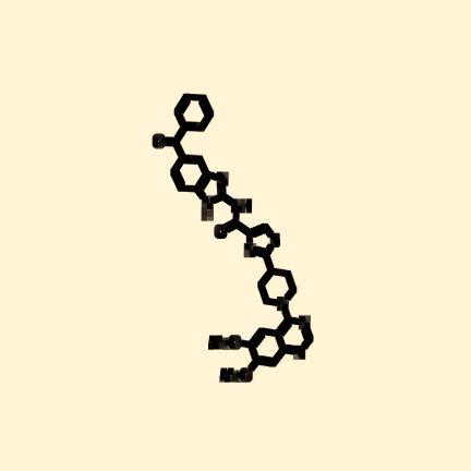 COc1cc2ncnc(N3CCC(c4nc(C(=O)Nc5nc6cc(C(=O)c7ccccc7)ccc6[nH]5)cs4)CC3)c2cc1OC